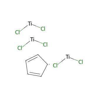 [CH]1C=CC=C1.[Cl][Ti][Cl].[Cl][Ti][Cl].[Cl][Ti][Cl]